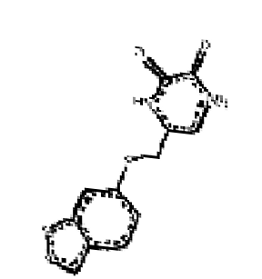 O=c1[nH]cc(CSc2ccc3cnsc3c2)[nH]c1=O